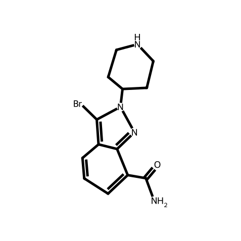 NC(=O)c1cccc2c(Br)n(C3CCNCC3)nc12